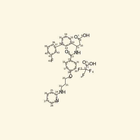 O=C(O)C(F)(F)F.O=C(O)CC(NC(=O)c1ccc(OCCCNc2ccccn2)cc1)c1cccc(-c2cccc(F)c2)c1